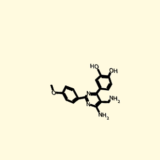 COc1ccc(-c2nc(N)c(CN)c(-c3ccc(O)c(O)c3)n2)cc1